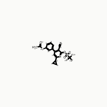 CC(=O)Oc1cccc(-c2cc(C3CC3)nc(OS(=O)(=O)C(F)(F)F)c2C#N)c1